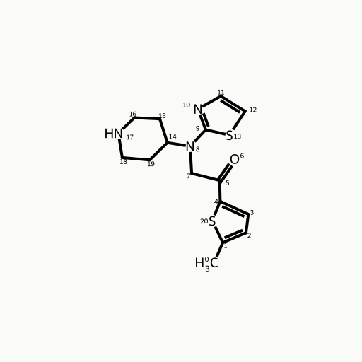 Cc1ccc(C(=O)CN(c2nccs2)C2CCNCC2)s1